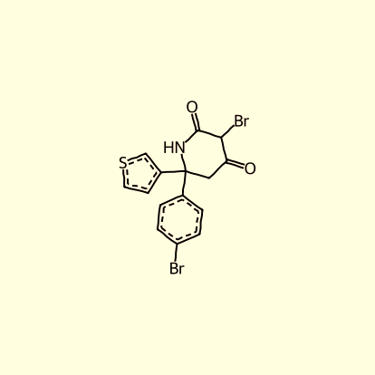 O=C1CC(c2ccc(Br)cc2)(c2ccsc2)NC(=O)C1Br